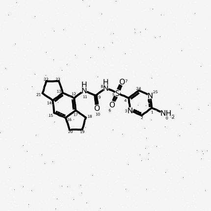 Nc1cnc(S(=O)(=O)NC(=O)Nc2c3c(cc4c2CCC4)CCC3)cn1